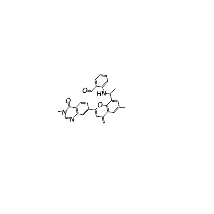 C=C1C=C(c2ccc3c(=O)n(C)cnc3c2)Oc2c1cc(C)cc2C(C)Nc1ccccc1C=O